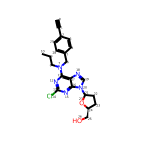 C#Cc1ccc(CN(CCC)c2nc(Cl)nc3c2ncn3C2CC[C@@H](CO)O2)cc1